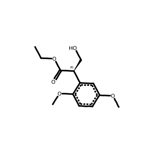 CCOC(=O)[C@@H](CO)c1cc(OC)ccc1OC